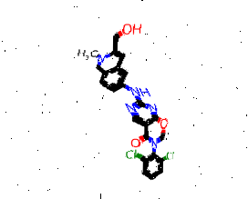 CN1Cc2ccc(Nc3ncc4c(n3)OCN(c3c(Cl)cccc3Cl)C4=O)cc2CC1CO